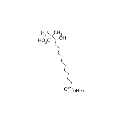 CCCCCCC(=O)CCCCCCCCCC[C@@H](O)[C@](C)(N)C(=O)O